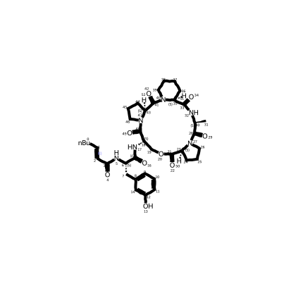 CCCC/C=C/C(=O)N[C@@H](Cc1cccc(O)c1)C(=O)N[C@H]1COC(=O)[C@@H]2CCCN2C(=O)[C@H](C)NC(=O)[C@@H]2CCCCN2C(=O)[C@@H]2CCCN2C1=O